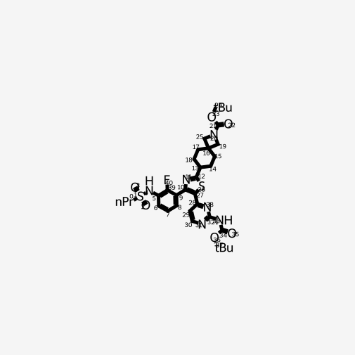 CCCS(=O)(=O)Nc1cccc(-c2nc(C3CCC4(CC3)CN(C(=O)OC(C)(C)C)C4)sc2-c2ccnc(NC(=O)OC(C)(C)C)n2)c1F